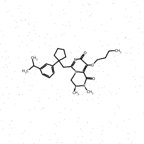 CCCCOc1c2n(c(CC3(c4cccc(C(C)C)c4)CCCC3)nc1=O)C[C@H](C)N(C)C2=O